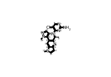 C[C@H](Nc1nc(N)ncc1Cl)c1nc2ccn(C)c2cc1-c1ccnn1C